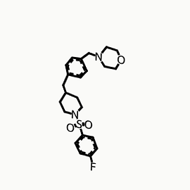 O=S(=O)(c1ccc(F)cc1)N1CCC(Cc2ccc(CN3CCOCC3)cc2)CC1